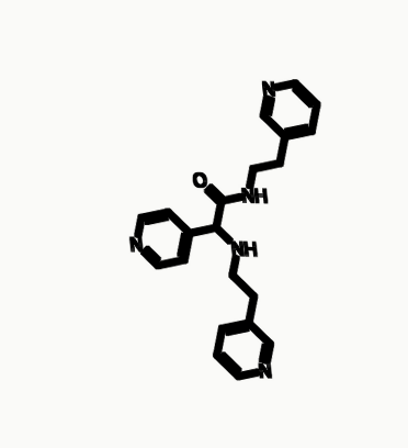 O=C(NCCc1cccnc1)C(NCCc1cccnc1)c1ccncc1